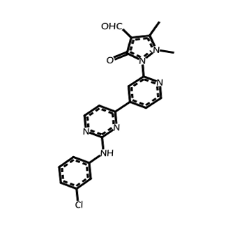 Cc1c(C=O)c(=O)n(-c2cc(-c3ccnc(Nc4cccc(Cl)c4)n3)ccn2)n1C